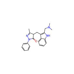 CC1=NN(c2ccccc2)C(=O)C1Cc1c(CN(C)C)[nH]c2ccccc12